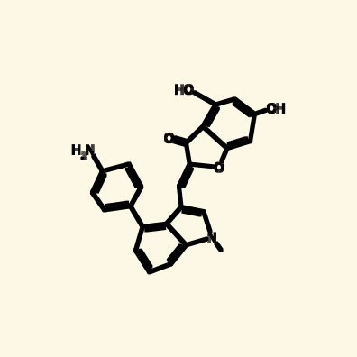 Cn1cc(C=C2Oc3cc(O)cc(O)c3C2=O)c2c(-c3ccc(N)cc3)cccc21